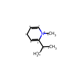 CC(C)C1=CCC=CN1C